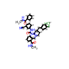 CNC(=O)c1cccc(NC(=O)Nc2cccc(C#N)c2)c1CN1CCC(Cc2ccc(F)cc2)CC1.CNC(=O)c1ccccc1.Cl